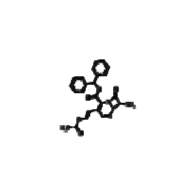 CC(=O)O/C=C/C1=C(C(=O)OC(c2ccccc2)c2ccccc2)N2C(=O)C(N)C2SC1